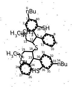 CCCCc1ccc(C(c2ccccc2)C(CN(C)C)SC(CN(C)C)C(c2ccccc2)c2ccc(CCCC)cc2S)c(S)c1